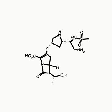 C[C@@H](O)[C@H]1C(=O)N2C(C(=O)O)=C(S[C@@H]3CN[C@H](C(CN)NS(C)(=O)=O)C3)C[C@H]12